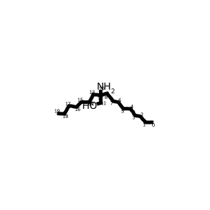 CCCCCCCCCC(N)(CO)CCCCCCC